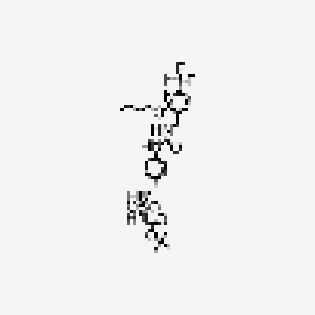 CCCCOc1nc(C(F)(F)F)ccc1CNC(=O)Nc1ccc(CNS(=O)(=O)NC(=O)OC(C)(C)C)cc1